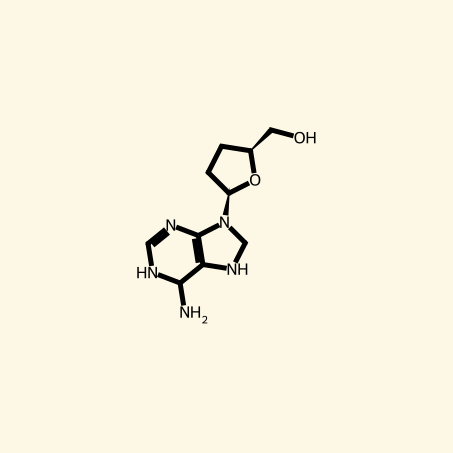 NC1NC=NC2=C1NCN2[C@H]1CC[C@@H](CO)O1